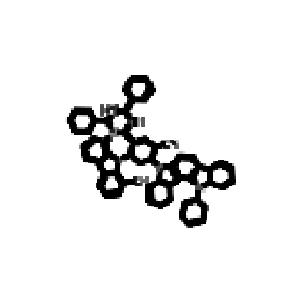 Cc1cccc2c3cccc4c3n(c12)C1CC(n2c3c(c5c2C=CC2C6C=CC=CC6N(C6C=CC=CC6)C52)CCC=C3)C(C#N)C=C1C1NC(C2C=CC=CC2)NC(C2C=CCCC2)N41